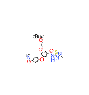 Cc1nsc(NC(=O)c2cc(OCCCO[Si](C)(C)C(C)(C)C)cc(Oc3ccc(C(=O)N4CCC4)cc3)c2)n1